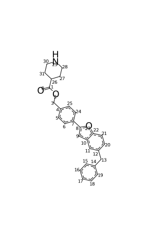 O=C(OCc1ccc(-c2cc3cc(Cc4ccccc4)ccc3o2)cc1)C1CCNCC1